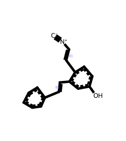 [C-]#[N+]/C=C/c1ccc(O)cc1/C=C/c1ccccc1